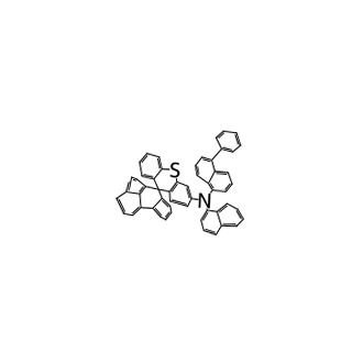 c1ccc(-c2cccc3c(N(c4ccc5c(c4)Sc4ccccc4C54c5ccccc5-c5cccc6cccc4c56)c4cccc5ccccc45)cccc23)cc1